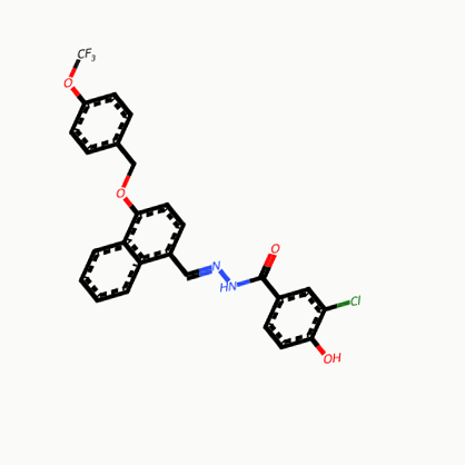 O=C(N/N=C/c1ccc(OCc2ccc(OC(F)(F)F)cc2)c2ccccc12)c1ccc(O)c(Cl)c1